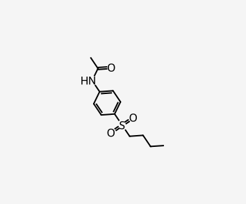 CCCCS(=O)(=O)c1ccc(NC(C)=O)cc1